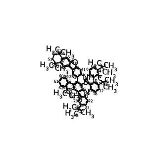 CC(C)(C)c1ccc(N2B3c4cc(C(C)(C)C)ccc4-n4c5ccc(C(C)(C)C)cc5c5c6c(c(c3c54)-c3cc4c(cc32)oc2cc3c(cc24)C(C)(C)CCC3(C)C)-c2ccccc2[Si]6(C)C)cc1